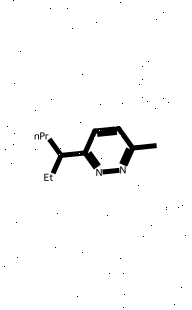 CCCC(CC)c1ccc(C)nn1